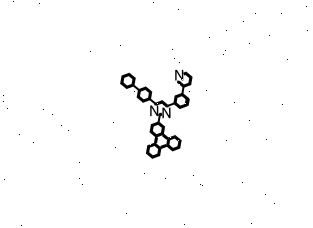 c1cc(-c2cc(-c3ccc(-c4ccccc4)cc3)nc(-c3ccc4c5ccccc5c5ccccc5c4c3)n2)cc(-c2cccnc2)c#1